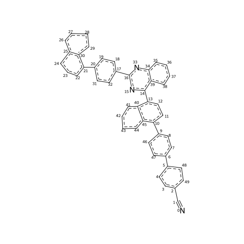 N#Cc1ccc(-c2ccc(-c3ccc(-c4nc(-c5ccc(-c6cccc7ccccc67)cc5)nc5ccccc45)c4ccccc34)cc2)cc1